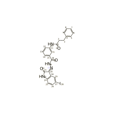 O=C(CCc1ccccc1)Nc1cccc(C(=O)N/N=C2\C(=O)Nc3ccc(I)cc32)c1